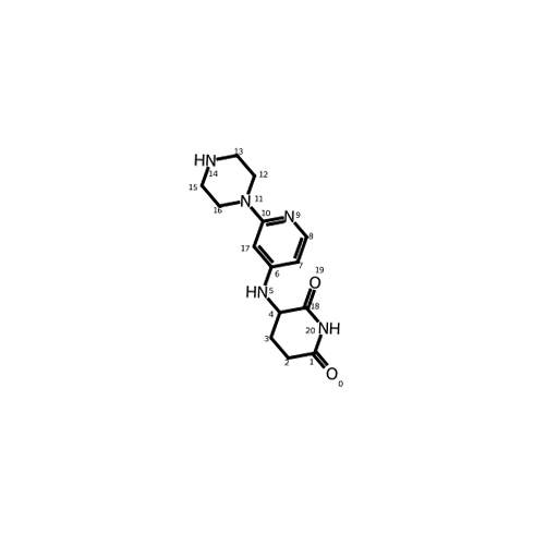 O=C1CCC(Nc2ccnc(N3CCNCC3)c2)C(=O)N1